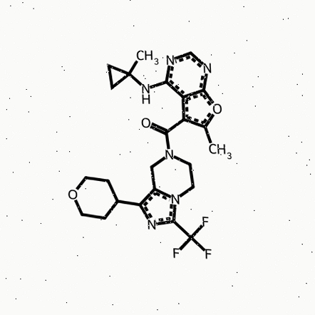 Cc1oc2ncnc(NC3(C)CC3)c2c1C(=O)N1CCn2c(C(F)(F)F)nc(C3CCOCC3)c2C1